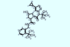 CC(C)(C)c1ccncc1CNC(=O)C1CC(O)CN1C(=O)[C@@H](n1cc(C2CC2)nn1)C(C)(C)C